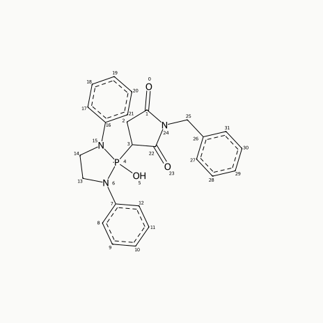 O=C1CC([P]2(O)N(c3ccccc3)CCN2c2ccccc2)C(=O)N1Cc1ccccc1